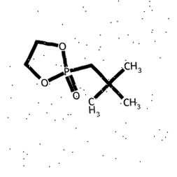 CC(C)(C)CP1(=O)OCCO1